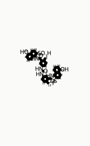 Cc1ccc(NC(=O)Nc2ccc(C)c(C(=O)Nc3c(S(=O)(=O)O)ccc4c(O)cccc34)c2)cc1C(=O)Nc1c(S(=O)(=O)O)ccc2c(O)cccc12